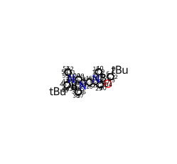 CC(C)(C)c1ccc2c(c1)B1c3ccccc3-n3c4cc5c6ccc7c8c6n(c5cc4c4ccc(c1c43)O2)-c1ccccc1B8c1cc(C(C)(C)C)ccc1N7c1ccccc1